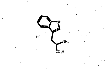 Cl.N[C@H](Cc1c[nH]c2ccccc12)C(=O)O